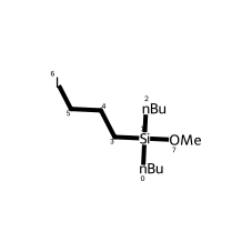 CCCC[Si](CCCC)(CCCI)OC